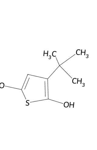 CC(C)(C)c1cc(O)sc1O